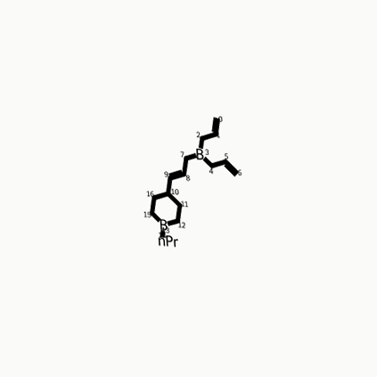 C=CCB(CC=C)C/C=C/C1CCB(CCC)CC1